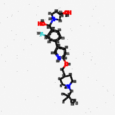 CC(C)(CN1CCC(COc2ccc(-c3ccc(C(O)N4CC[C@@H](O)C4)c(F)c3)cn2)CC1)C(F)(F)F